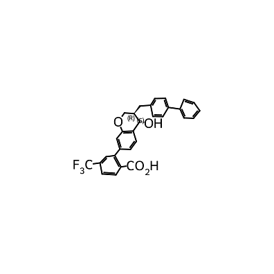 O=C(O)c1ccc(C(F)(F)F)cc1-c1ccc2c(c1)OC[C@@H](Cc1ccc(-c3ccccc3)cc1)[C@@H]2O